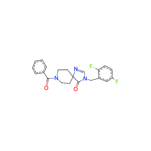 O=C(c1ccccc1)N1CCC2(CC1)N=CN(Cc1cc(F)ccc1F)C2=O